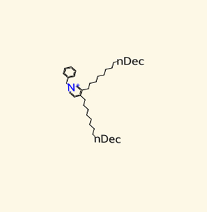 CCCCCCCCCCCCCCCCCCc1cc[n+](Cc2ccccc2)cc1CCCCCCCCCCCCCCCCCC